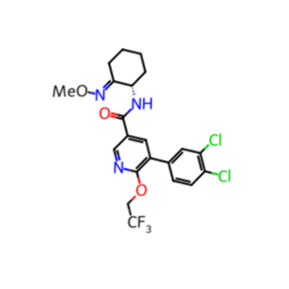 CON=C1CCCC[C@@H]1NC(=O)c1cnc(OCC(F)(F)F)c(-c2ccc(Cl)c(Cl)c2)c1